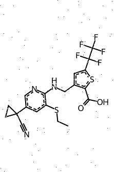 CCSc1cc(C2(C#N)CC2)cnc1NCc1cc(C(F)(F)C(F)(F)F)sc1C(=O)O